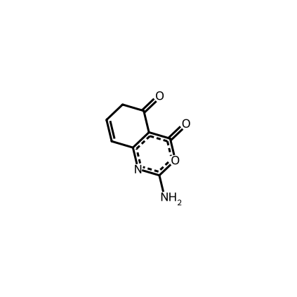 Nc1nc2c(c(=O)o1)C(=O)CC=C2